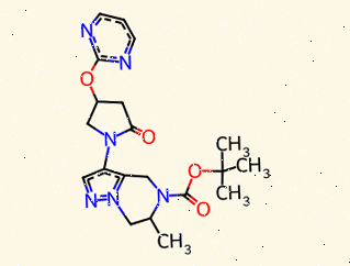 CC1Cn2ncc(N3CC(Oc4ncccn4)CC3=O)c2CN1C(=O)OC(C)(C)C